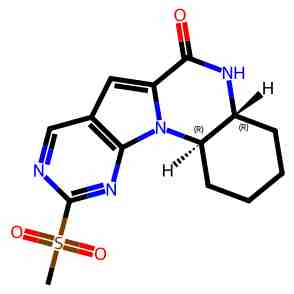 CS(=O)(=O)c1ncc2cc3n(c2n1)[C@@H]1CCCC[C@H]1NC3=O